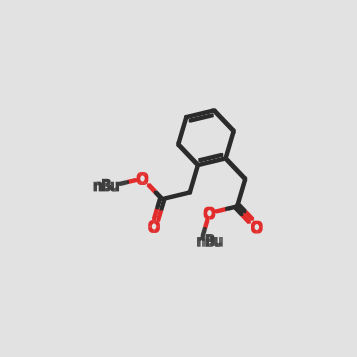 CCCCOC(=O)CC1=C(CC(=O)OCCCC)CC=CC1